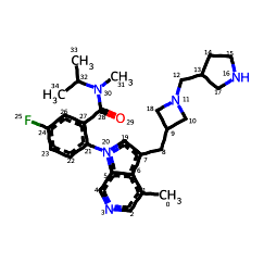 Cc1cncc2c1c(CC1CN(CC3CCNC3)C1)cn2-c1ccc(F)cc1C(=O)N(C)C(C)C